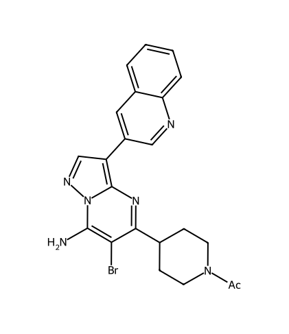 CC(=O)N1CCC(c2nc3c(-c4cnc5ccccc5c4)cnn3c(N)c2Br)CC1